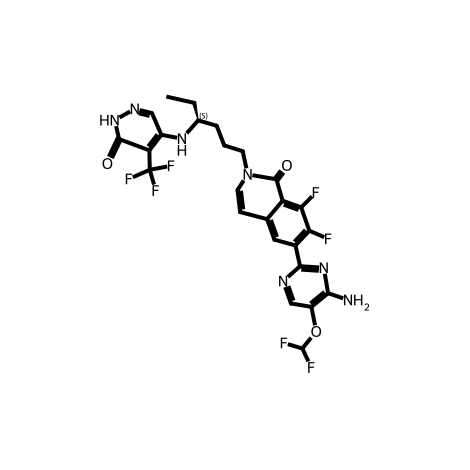 CC[C@@H](CCCn1ccc2cc(-c3ncc(OC(F)F)c(N)n3)c(F)c(F)c2c1=O)Nc1cn[nH]c(=O)c1C(F)(F)F